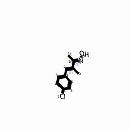 CC(=C\c1ccc(Cl)cc1)/C(C)=N/O